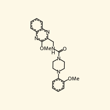 COc1ccccc1N1CCN(C(=O)NCc2nc3ccccc3nc2OC)CC1